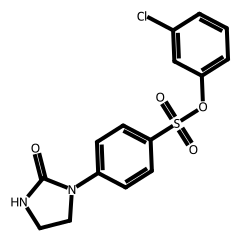 O=C1NCCN1c1ccc(S(=O)(=O)Oc2cccc(Cl)c2)cc1